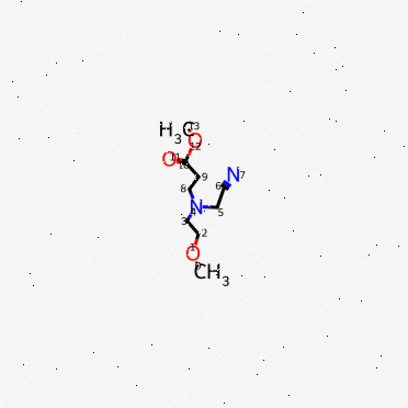 COCCN(CC#N)CCC(=O)OC